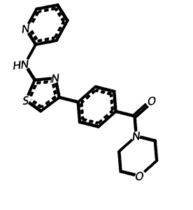 O=C(c1ccc(-c2csc(Nc3ccccn3)n2)cc1)N1CCOCC1